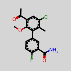 COc1c(C(C)=O)cc(Cl)c(C)c1-c1ccc(F)c(C(N)=O)c1